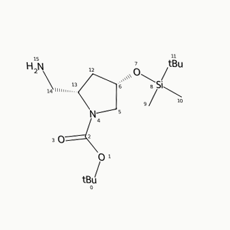 CC(C)(C)OC(=O)N1C[C@@H](O[Si](C)(C)C(C)(C)C)C[C@H]1CN